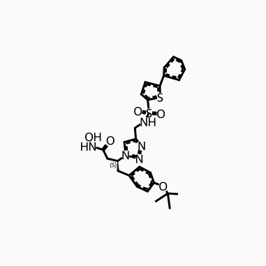 CC(C)(C)Oc1ccc(C[C@@H](CC(=O)NO)n2cc(CNS(=O)(=O)c3ccc(-c4ccccc4)s3)nn2)cc1